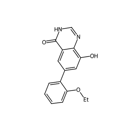 CCOc1ccccc1-c1cc(O)c2nc[nH]c(=O)c2c1